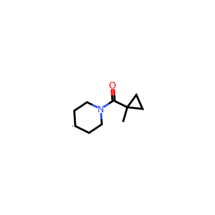 CC1(C(=O)N2CC[CH]CC2)CC1